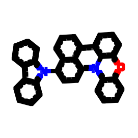 c1ccc2c(c1)oc1cccc3c1-n2c1ccc(-n2c4ccccc4c4ccccc42)c2cccc3c21